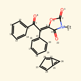 CCN1C(=O)OC(=C(C(=O)c2ccccc2)c2ccccc2)C1=O.c1cc2cc-2c1